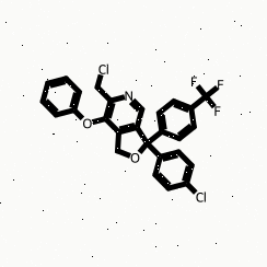 FC(F)(F)c1ccc(C2(c3ccc(Cl)cc3)OCc3c2cnc(CCl)c3Oc2ccccc2)cc1